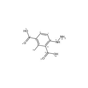 Cc1c(C(=O)O)ccc(NN)c1C(=O)O